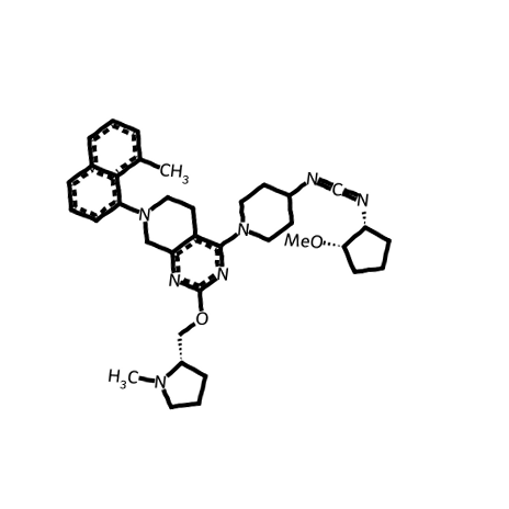 CO[C@H]1CCC[C@H]1N=C=NC1CCN(c2nc(OC[C@@H]3CCCN3C)nc3c2CCN(c2cccc4cccc(C)c24)C3)CC1